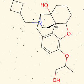 CC(CO)Oc1ccc2c3c1OC1CCCC4(O)C(C2)N(CC2CCC2)CC[C@]314